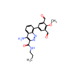 CCCNC(=O)c1nnc2c(-c3cc(C=O)c(OC)c(C=O)c3)cccc2c1N